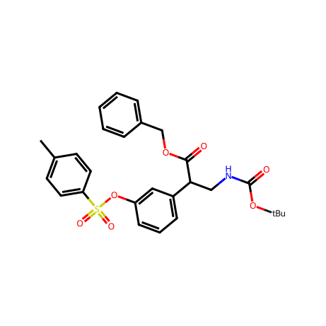 Cc1ccc(S(=O)(=O)Oc2cccc(C(CNC(=O)OC(C)(C)C)C(=O)OCc3ccccc3)c2)cc1